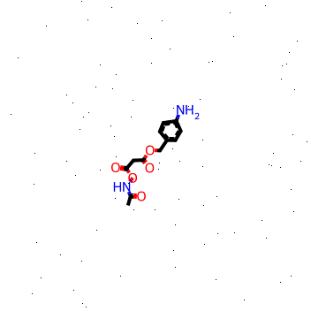 CC(=O)NOC(=O)CC(=O)OCc1ccc(N)cc1